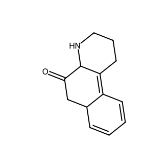 O=C1CC2C=CC=CC2=C2CCCNC12